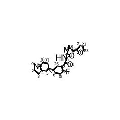 Cn1ccc2cc(-c3ccc(F)c(C(=O)Nc4nnc(-c5ccco5)o4)c3)ccc21